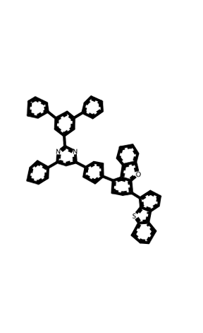 c1ccc(-c2cc(-c3ccccc3)cc(-c3nc(-c4ccccc4)cc(-c4ccc(-c5ccc(-c6cccc7c6sc6ccccc67)c6oc7ccccc7c56)cc4)n3)c2)cc1